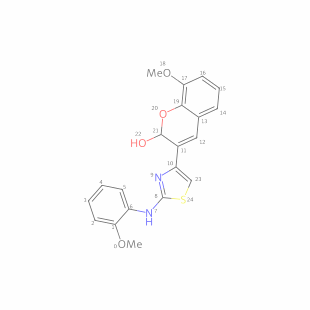 COc1ccccc1Nc1nc(C2=Cc3cccc(OC)c3OC2O)cs1